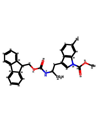 CCc1ccc2c(CC(NC(=O)OCC3c4ccccc4-c4ccccc43)C(=O)O)cn(C(=O)OC(C)(C)C)c2c1